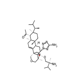 CC(=O)[C@@H]1[C@@](C)([C@H](C)C(C)C)CC[C@]2(C)[C@H]3CC[C@@H]4[C@@]5(COC[C@]4(C)[C@@H](OC[C@@](C)(N)C(C)C)[C@H](n4nnc(N)n4)C5)C3=CC[C@@]12C